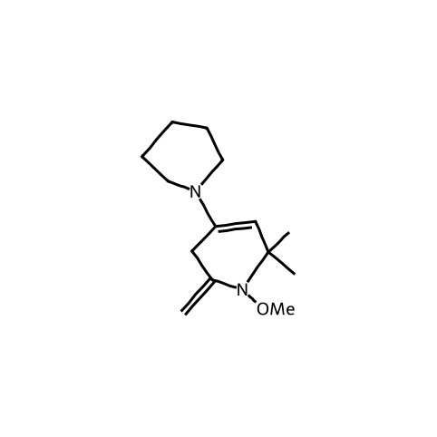 C=C1CC(N2CCCCC2)=CC(C)(C)N1OC